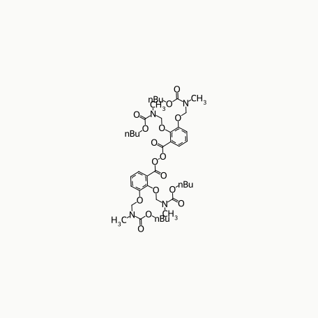 CCCCOC(=O)N(C)COc1cccc(C(=O)OOC(=O)c2cccc(OCN(C)C(=O)OCCCC)c2OCN(C)C(=O)OCCCC)c1OCN(C)C(=O)OCCCC